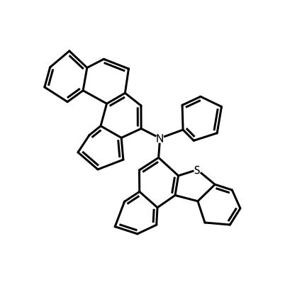 C1=CCC2C(=C1)Sc1c(N(c3ccccc3)c3cc4ccc5ccccc5c4c4ccccc34)cc3ccccc3c12